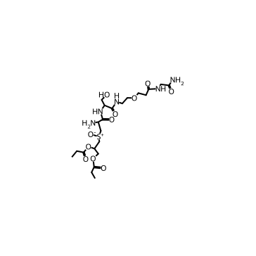 CCC(=O)OCC(C[S+]([O-])CC(N)C(=O)NC(CO)C(=O)NCCOCCC(=O)NCC(N)=O)OC(=O)CC